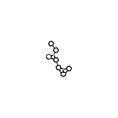 C1=Cc2c(n(-c3cccc(-c4ccccc4)c3)c3ccc(-c4ccc5c6cccc7c8ccccc8n(c5c4)c76)cc23)CC1